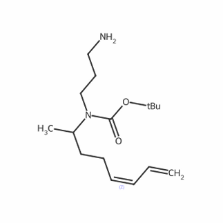 C=C/C=C\CCC(C)N(CCCN)C(=O)OC(C)(C)C